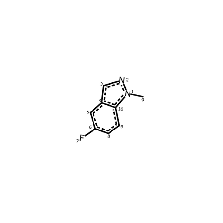 Cn1n[c]c2cc(F)ccc21